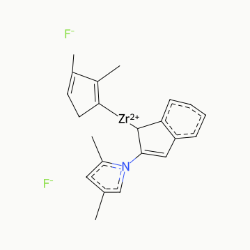 CC1=CC[C]([Zr+2][CH]2C(n3cc(C)cc3C)=Cc3ccccc32)=C1C.[F-].[F-]